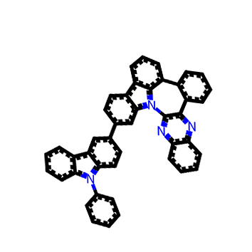 c1ccc(-n2c3ccccc3c3cc(-c4ccc5c6cccc7c6n(c5c4)-c4nc5ccccc5nc4-c4ccccc4-7)ccc32)cc1